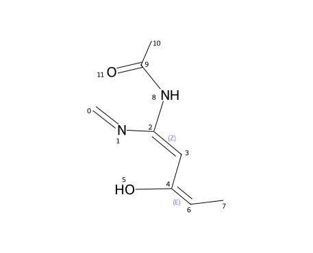 C=N/C(=C\C(O)=C/C)NC(C)=O